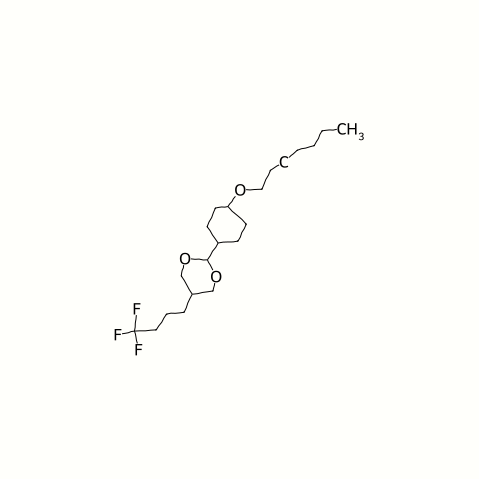 CCCCCCCOC1CCC(C2OCC(CCCC(F)(F)F)CO2)CC1